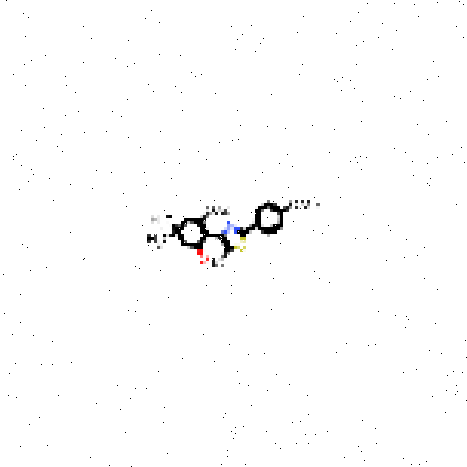 CCc1sc(-c2ccc(OC)cc2)nc1C1=C(OC(C)=O)CC(C)(C)CC1=O